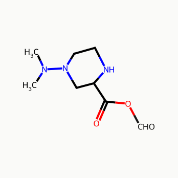 CN(C)N1CCNC(C(=O)OC=O)C1